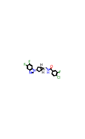 O=C(NC[C@@H]1[C@H]2C[C@H](n3cnc4cc(F)c(F)cc43)C[C@@H]12)c1ccc(Cl)c(F)c1